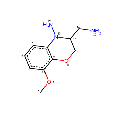 COc1cccc2c1OCC(CN)N2N